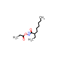 CCCCCCC(CC)C(=O)NOC(=O)CC